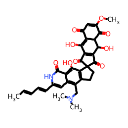 C/C=C/C=C/c1cc2c(CN(C)C)c3c(c(O)c2c(=O)[nH]1)C1(CC3)C(=O)C2=C(C1=O)C(O)C1C(=O)C(OC)=CC(=O)C1=C2O